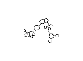 CCN(C(=O)OCc1cc(Cl)cc(Cl)c1)C1CCc2ccc(C3=CCN(C(=O)CN4C(=O)CSC4=S)CC3)cc21